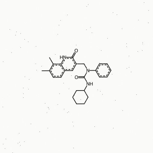 Cc1ccc2cc(CN(C(=O)NC3CCCCC3)c3ccccc3)c(=O)[nH]c2c1C